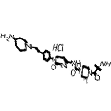 C[C@@H]1CN(C(=O)Nc2ccn(-c3ccc(CCN4CCCC(N)CC4)cc3)c(=O)n2)CCN1C(=O)C(C)(C)N.Cl